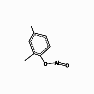 Cc1ccc([O][Al]=[O])c(C)c1